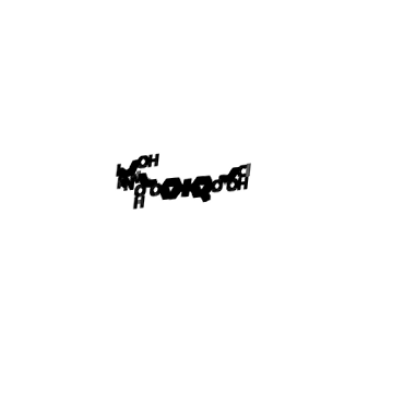 Cc1cc(C(C)(C)c2ccc(OC[C@H](O)CN3N=NC(I)C3CO)cc2)ccc1OC[C@H](O)CCl